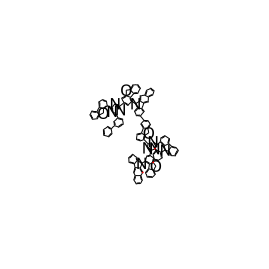 c1ccc(-c2cccc(-c3nc(-c4cc(-n5c6ccc(-c7ccc8oc9c(-c%10nc(-c%11cc(-n%12c%13ccccc%13c%13cc%14ccccc%14cc%13%12)c%12c(c%11)oc%11ccccc%11%12)nc(-c%11cccc%12c%13ccccc%13n(-c%13ccccc%13)c%11%12)n%10)cccc9c8c7)cc6c6cc7ccccc7cc65)c5c(c4)oc4ccccc45)nc(-c4cccc5c4oc4ccccc45)n3)c2)cc1